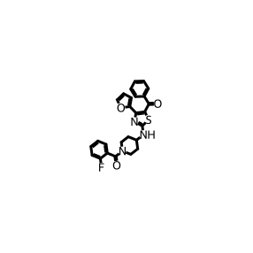 O=C(c1ccccc1)c1sc(NC2CCN(C(=O)c3ccccc3F)CC2)nc1-c1ccco1